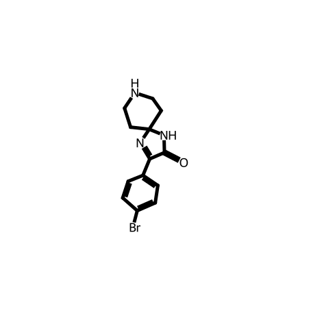 O=C1NC2(CCNCC2)N=C1c1ccc(Br)cc1